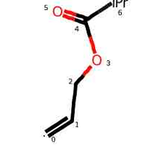 [CH]=CCOC(=O)C(C)C